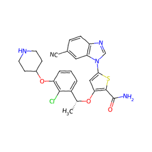 C[C@@H](Oc1cc(-n2cnc3ccc(C#N)cc32)sc1C(N)=O)c1cccc(OC2CCNCC2)c1Cl